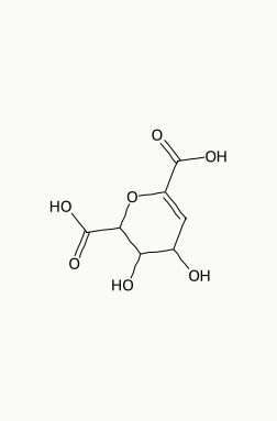 O=C(O)C1=CC(O)C(O)C(C(=O)O)O1